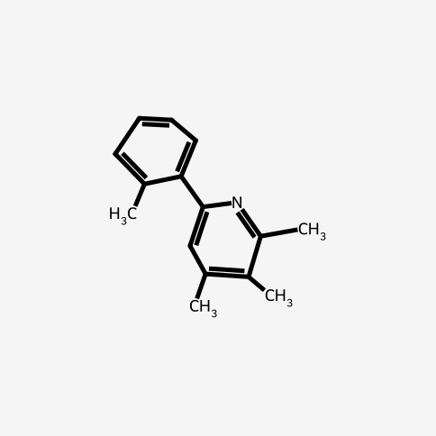 Cc1ccccc1-c1cc(C)c(C)c(C)n1